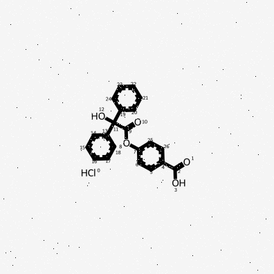 Cl.O=C(O)c1ccc(OC(=O)C(O)(c2ccccc2)c2ccccc2)cc1